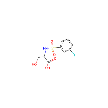 O=C(O)[C@H](CO)NS(=O)(=O)c1cccc(F)c1